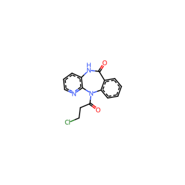 O=C1Nc2cccnc2N(C(=O)CCCl)c2ccccc21